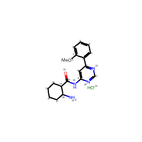 COc1ccccc1-c1cc(NC(=O)C2CCCCC2N)ncn1.Cl